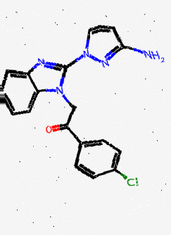 Nc1ccn(-c2nc3ccccc3n2CC(=O)c2ccc(Cl)cc2)n1